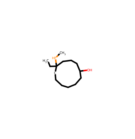 CCC1(PC)CCCCCCC(O)CCC1